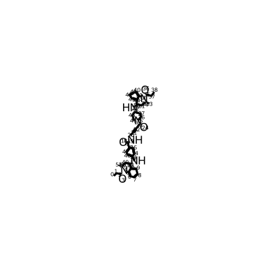 CCC(=O)N1c2ccccc2[C@H](Nc2ccc(C(=O)NCC#CC(=O)N3CCC(N[C@@H]4C[C@H](C)N(C(=O)CC)c5ccccc54)CC3)cc2)C[C@@H]1C